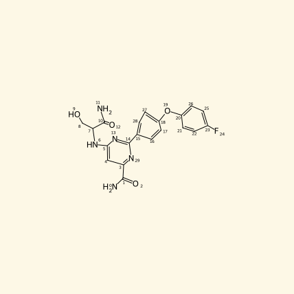 NC(=O)c1cc(NC(CO)C(N)=O)nc(-c2ccc(Oc3ccc(F)cc3)cc2)n1